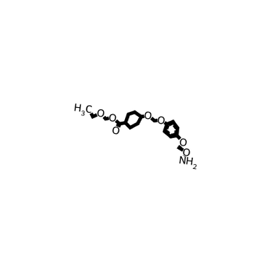 CCOCOC(=O)C1CCC(OCOc2ccc(OCON)cc2)CC1